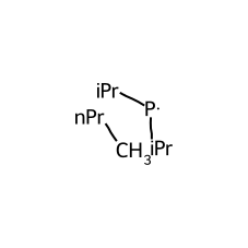 CC(C)[P]C(C)C.CCCC